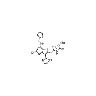 CC(Cc1oc2c(NCc3cccs3)cc(Cl)nc2c1-c1ncc[nH]1)NC(=O)OC(C)(C)C